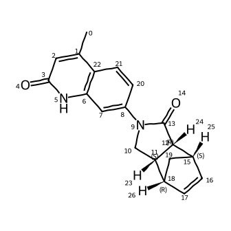 Cc1cc(=O)[nH]c2cc(N3C[C@@H]4[C@H](C3=O)[C@@H]3C=C[C@H]4C3)ccc12